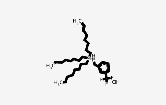 CCCCCCCC[PH](CCCCCCCC)(CCCCCCCC)PCc1cccc(C(F)(F)F)c1.Cl